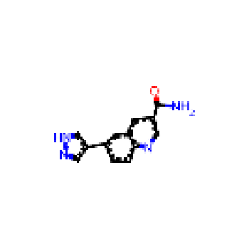 NC(=O)c1cnc2ccc(-c3cn[nH]c3)cc2c1